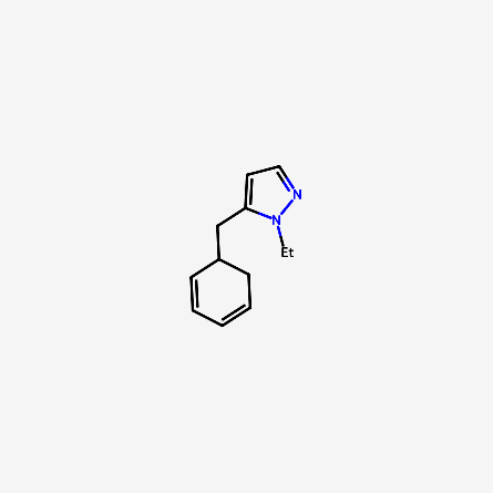 CCn1nccc1CC1C=CC=CC1